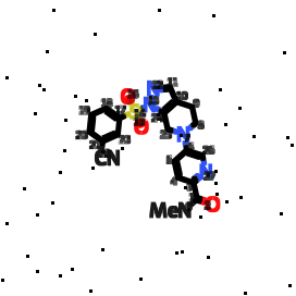 CNC(=O)c1ccc(N2CCc3cnn(S(=O)(=O)c4cccc(C#N)c4)c3C2)cn1